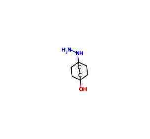 NNC12CCC(O)(CC1)CC2